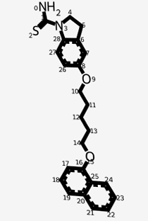 NC(=S)N1CCc2cc(OCCCCCOc3cccc4ccccc34)ccc21